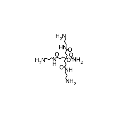 NCCCNC(=O)CCC(CCC(=O)NCCCN)(CCC(=O)NCCCN)OC(N)=O